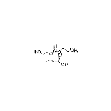 CC=CC(=O)O.OCCONOCCO